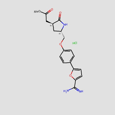 COC(=O)C[C@@H]1C[C@@H](COc2ccc(-c3ccc(C(=N)N)o3)cc2)NC1=O.Cl